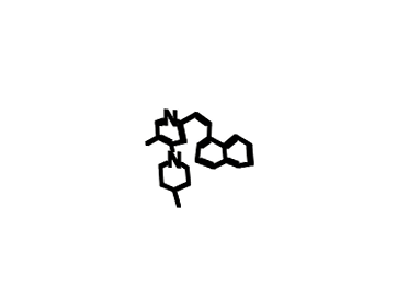 Cc1cnc(/C=C\c2cccc3ccccc23)cc1N1CCC(C)CC1